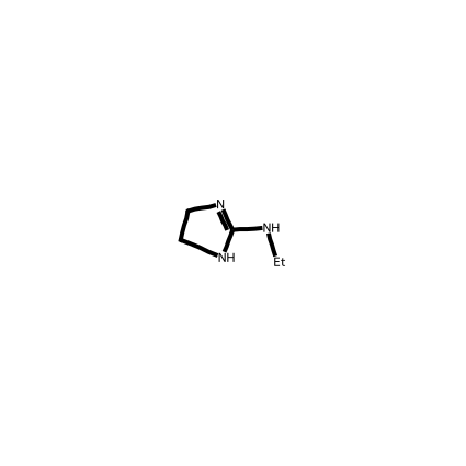 CCNC1=NCCN1